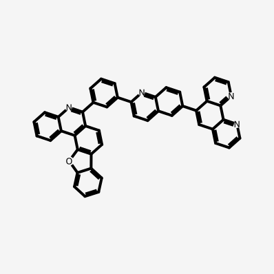 c1cc(-c2ccc3cc(-c4cc5cccnc5c5ncccc45)ccc3n2)cc(-c2nc3ccccc3c3c2ccc2c4ccccc4oc23)c1